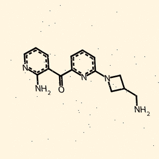 NCC1CN(c2cccc(C(=O)c3cccnc3N)n2)C1